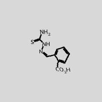 NC(=S)N/N=C\c1ccccc1C(=O)O